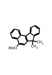 COc1cc2c(c3ccccc13)-c1ccccc1C2(C)C